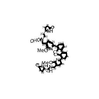 COc1nc(-c2cccc(-c3cccc(-c4ccc(CN(C=O)CC[C@@H]5CCC(=O)N5)c(OC)n4)c3Cl)c2Cl)ccc1CNC[C@@H]1CCC(=O)N1